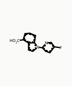 O=C(O)c1cccc2c1ccn2-c1ccc(F)cn1